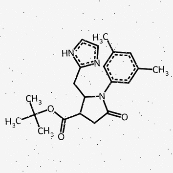 Cc1cc(C)cc(N2C(=O)CC(C(=O)OC(C)(C)C)C2Cc2ncc[nH]2)c1